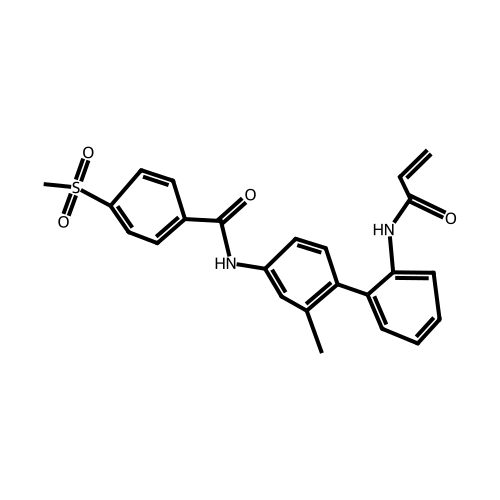 C=CC(=O)Nc1ccccc1-c1ccc(NC(=O)c2ccc(S(C)(=O)=O)cc2)cc1C